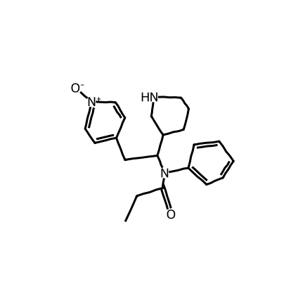 CCC(=O)N(c1ccccc1)C(Cc1cc[n+]([O-])cc1)C1CCCNC1